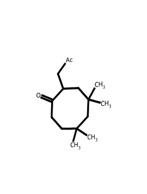 CC(=O)CC1CC(C)(C)CC(C)(C)CCC1=O